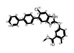 COC(=O)c1cc(Oc2nc3cc(-c4ccc(-c5cccnc5)cc4)c(Cl)cc3[nH]2)ccc1C